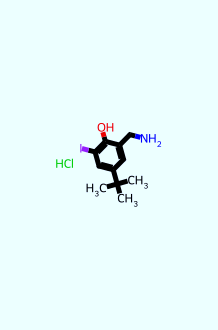 CC(C)(C)c1cc(I)c(O)c(CN)c1.Cl